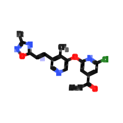 CCc1noc(/C=C/c2cncc(Oc3cc(C(=O)NC)cc(Cl)n3)c2C(F)(F)F)n1